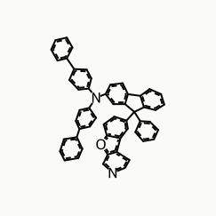 c1ccc(-c2ccc(N(c3ccc(-c4ccccc4)cc3)c3ccc4c(c3)C(c3ccccc3)(c3ccc5oc6cnccc6c5c3)c3ccccc3-4)cc2)cc1